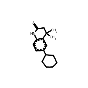 CC1(C)CC(=O)Nc2ccc(C3CCCCC3)cc21